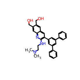 CN(C)CCNc1nc2cc(CO)c(CO)cc2cc1-c1cc(-c2ccccc2)cc(-c2ccccc2)c1